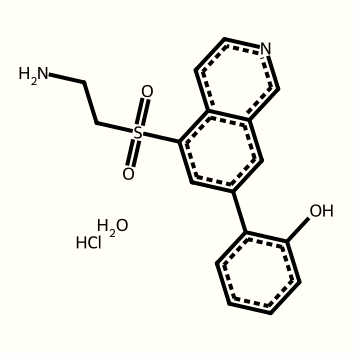 Cl.NCCS(=O)(=O)c1cc(-c2ccccc2O)cc2cnccc12.O